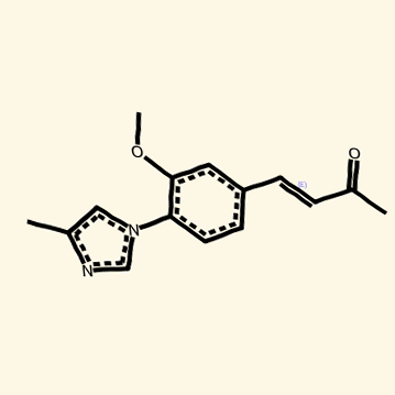 COc1cc(/C=C/C(C)=O)ccc1-n1cnc(C)c1